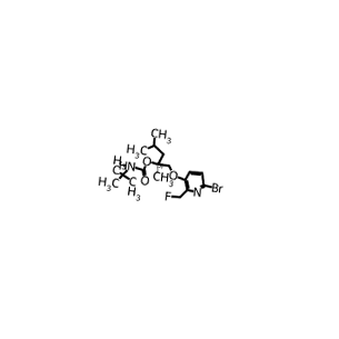 CC(C)C[C@@](C)(COc1ccc(Br)nc1CF)OC(=O)NC(C)(C)C